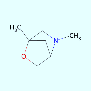 CN1CC2(C)CC1CO2